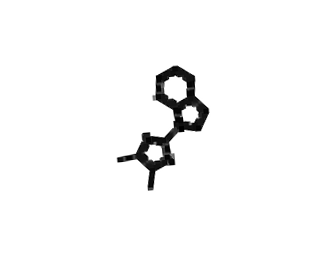 Cc1nc(-n2ccc3ccc[c]c32)sc1C